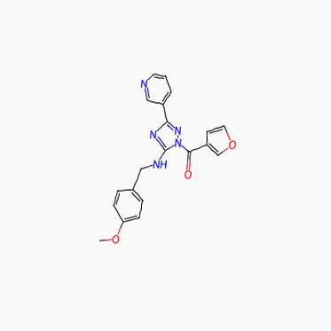 COc1ccc(CNc2nc(-c3cccnc3)nn2C(=O)c2ccoc2)cc1